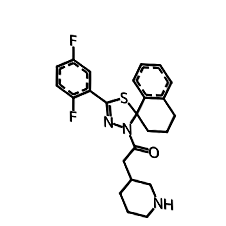 O=C(CC1CCCNC1)N1N=C(c2cc(F)ccc2F)SC12CCCc1ccccc12